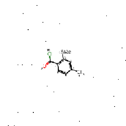 CSc1cc(C(F)(F)F)ccc1C(=O)Cl